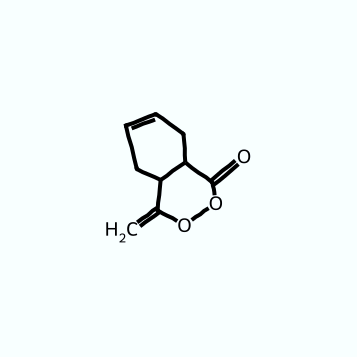 C=C1OOC(=O)C2CC=CCC12